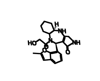 Cc1cc2cccc([C@@H]3C4=C(CNC4=O)N[C@@H]4CCCCC4N3C(=O)CO)c2o1